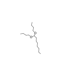 CCCCCCCC(OCCCC)OCCCC